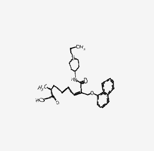 CCN1CCC(NC(=O)C(=CCCCC(C)C(=O)O)COc2cccc3ccccc23)CC1